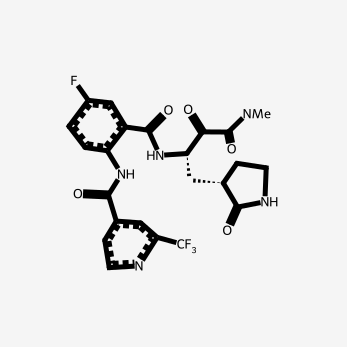 CNC(=O)C(=O)[C@H](C[C@@H]1CCNC1=O)NC(=O)c1cc(F)ccc1NC(=O)c1ccnc(C(F)(F)F)c1